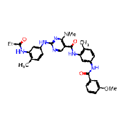 CCC(=O)Nc1cc(Nc2ncc(C(=O)Nc3cc(NC(=O)c4cccc(OC)c4)ccc3C)c(NC)n2)ccc1C